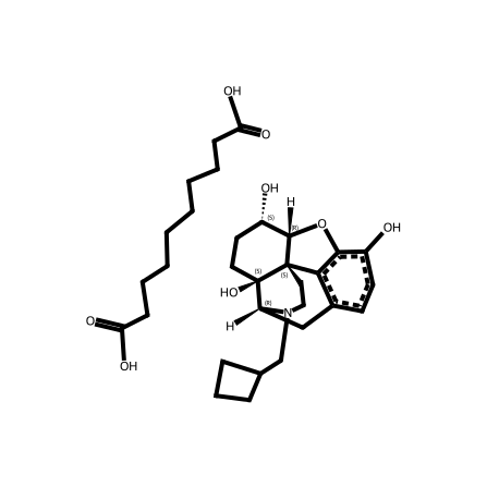 O=C(O)CCCCCCCCC(=O)O.Oc1ccc2c3c1O[C@H]1[C@@H](O)CC[C@@]4(O)[C@@H](C2)N(CC2CCC2)CC[C@]314